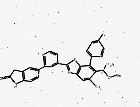 Cc1cc2nc(-c3ccnc(-c4ccc5c(c4)CC(=O)N5)c3)sc2c(-c2ccc(Cl)cc2)c1[C@H](OC(C)(C)C)C(=O)O